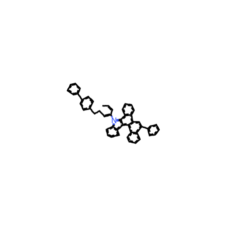 C/C=C\C(=C/CCc1ccc(-c2ccccc2)cc1)n1c2ccccc2c2c3c4ccccc4c(-c4ccccc4)cc3c3ccccc3c21